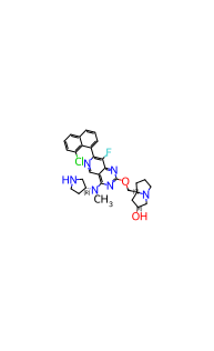 CN(c1nc(OC[C@@]23CCCN2C[C@H](O)C3)nc2c(F)c(-c3cccc4cccc(Cl)c34)ncc12)[C@@H]1CCNC1